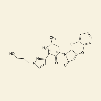 CC(C)C[C@@H](C(=O)Nc1ccn(CCCO)n1)N1CC(Oc2ccccc2Cl)=CC1=O